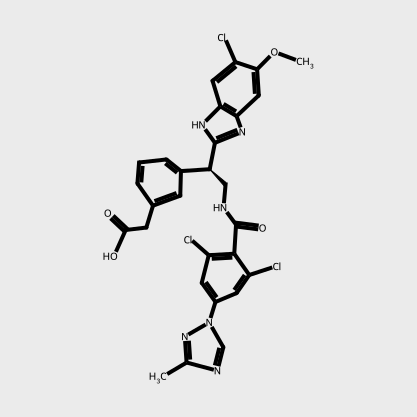 COc1cc2nc([C@@H](CNC(=O)c3c(Cl)cc(-n4cnc(C)n4)cc3Cl)c3cccc(CC(=O)O)c3)[nH]c2cc1Cl